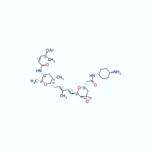 CC(=O)O[C@@H](C)/C=C\C(=O)N[C@@H]1C[C@H](C)[C@H](C/C=C(C)/C=C/[C@@H]2C[C@]3(CO3)C[C@@H](CC(=O)N[C@H]3CC[C@H](N)CC3)O2)O[C@@H]1C